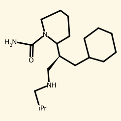 CC(C)CNC[C@H](CC1CCCCC1)C1CCCCN1C(N)=O